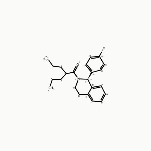 CCCC(CCC)C(=O)N1CCc2ccccc2[C@@H]1c1ccc(F)cc1